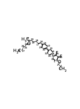 C=CCOc1ccc(-c2ccc(-c3ccc(/C=C/CCCC(C)OCCCCC)cc3)cc2)c(F)c1F